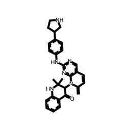 C=C1C=Cc2cnc(Nc3ccc(C4CCNC4)cc3)nc2N1C1C(=O)c2ccccc2NC1(C)C